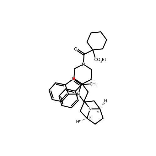 CCOC(=O)C1(C(=O)N2CCC(CCN3[C@@H]4CC[C@H]3CC(n3c(C)nc5ccccc53)C4)(c3ccccc3)CC2)CCCCC1